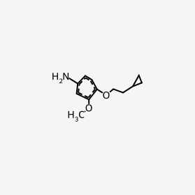 COc1cc(N)ccc1OCCC1CC1